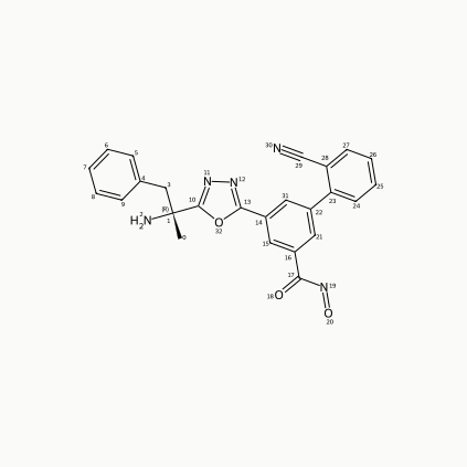 C[C@@](N)(Cc1ccccc1)c1nnc(-c2cc(C(=O)N=O)cc(-c3ccccc3C#N)c2)o1